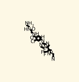 N#CCn1cc(-c2cnc3c(Nc4ccc(C(=O)NCC(=O)NCCN)c(Cl)c4)nccn23)c(C(F)(F)F)n1